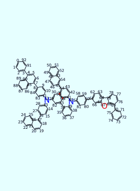 c1ccc(-c2ccc(-c3ccc(N(c4ccc(-c5cccc6ccccc56)cc4)c4cccc(-c5ccccc5N(c5ccc(-c6ccc7ccccc7c6)cc5)c5ccc(-c6ccc7c(c6)oc6c(-c8ccccc8)cccc67)cc5)c4)cc3)c3ccccc23)cc1